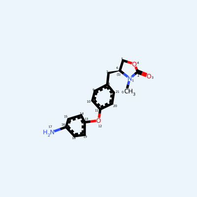 CN1C(=O)OC[C@@H]1Cc1ccc(Oc2ccc(N)cc2)cc1